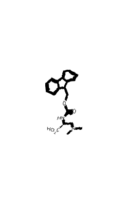 CN(C)C[C@H](NC(=O)OCC1c2ccccc2-c2ccccc21)C(=O)O